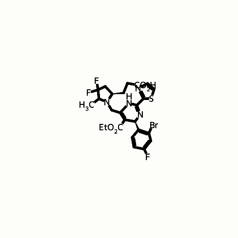 CCOC(=O)C1=C(CN2C(C)C(F)(F)C[C@H]2CCC(=O)O)NC(c2nccs2)=N[C@H]1c1ccc(F)cc1Br